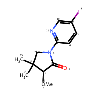 CO[C@@H]1C(=O)N(c2ccc(I)cn2)CC1(C)C